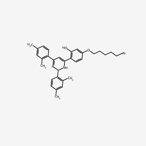 Cc1ccc(C2=NN(c3ccc(C)cc3C)NC(c3ccc(OCCCCCC(C)C)cc3O)=C2)c(C)c1